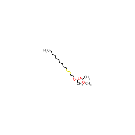 CCCCCCCCCCSSCCOC(C)OC(C)OC